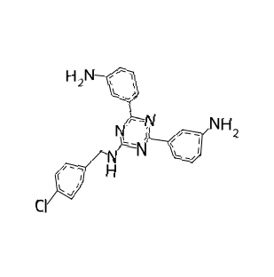 Nc1cccc(-c2nc(NCc3ccc(Cl)cc3)nc(-c3cccc(N)c3)n2)c1